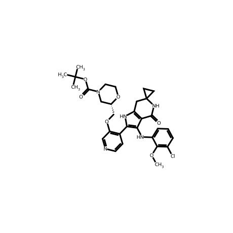 COc1c(Cl)cccc1Nc1c(-c2ccncc2OC[C@@H]2CN(C(=O)OC(C)(C)C)CCO2)[nH]c2c1C(=O)NC1(CC1)C2